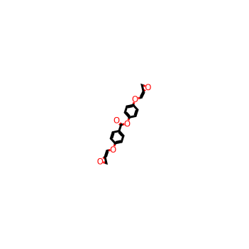 O=C(Oc1ccc(O/C=C2\CO2)cc1)c1ccc(O/C=C2\CO2)cc1